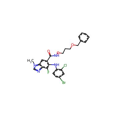 Cn1cnc2c(F)c(Nc3ccc(Br)cc3Cl)c(C(=O)NOCCCOCc3ccccc3)cc21